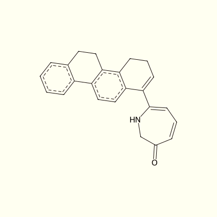 O=C1C=CC=C(C2=CCCc3c2ccc2c3CCc3ccccc3-2)NC1